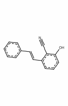 N#Cc1c(O)cccc1C=Cc1ccccc1